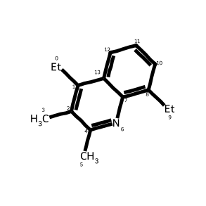 CCc1c(C)c(C)nc2c(CC)cccc12